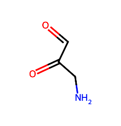 NCC(=O)C=O